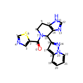 O=C(c1cncs1)N1CCc2[nH]cnc2C1c1cc2ccccn2n1